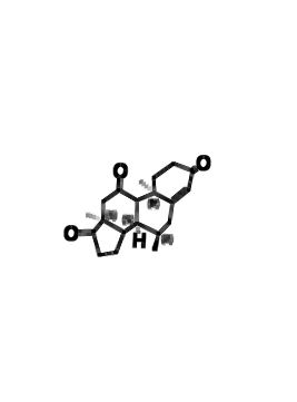 C[C@@H]1CC2=CC(=O)CC[C@]2(C)C2C(=O)C[C@]3(C)C(=O)CCC3[C@@H]21